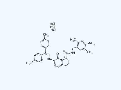 Cc1ccc([C@H](CNc2ncc3n(c2=O)[C@H](C(=O)NCc2cc(C)c(N)nc2C)CC3)c2ccc(C)cn2)cc1.Cl.Cl.Cl